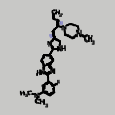 C=C/C=C(\C=C1/CNC(c2ccc3[nH]c(-c4cc(N(C)C)ccc4F)nc3c2)=N1)N1CCN(C)CC1